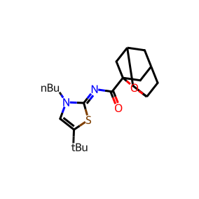 CCCCn1cc(C(C)(C)C)sc1=NC(=O)C12CC3CC(CC(C3)O1)C2